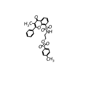 Cc1ccc(S(=O)(=O)OCCNS(=O)(=O)c2cccc3c(=O)c(C)c(-c4ccccc4)oc23)cc1